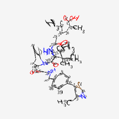 Cc1ncsc1-c1ccc(CNC(=O)[C@@H]2CCCN2C(=O)[C@@H](NC(=O)CC(C)CC(C)C(=O)O)C(C)(C)C)cc1